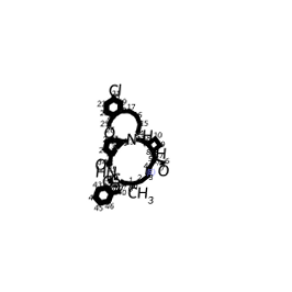 C[C@H]1C/C=C/[C@H](C=O)[C@@H]2CC[C@H]2CN2CCCCc3cc(Cl)ccc3COc3ccc(cc32)C(=O)NS(=O)(=O)[C@H]1Cc1ccccc1